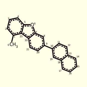 Cc1cccc2oc3cc(-c4ccc5ccccc5c4)ccc3c12